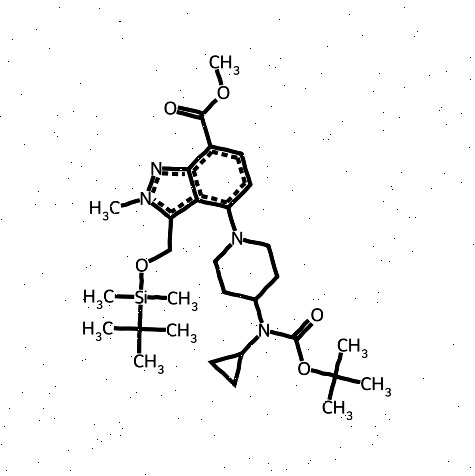 COC(=O)c1ccc(N2CCC(N(C(=O)OC(C)(C)C)C3CC3)CC2)c2c(CO[Si](C)(C)C(C)(C)C)n(C)nc12